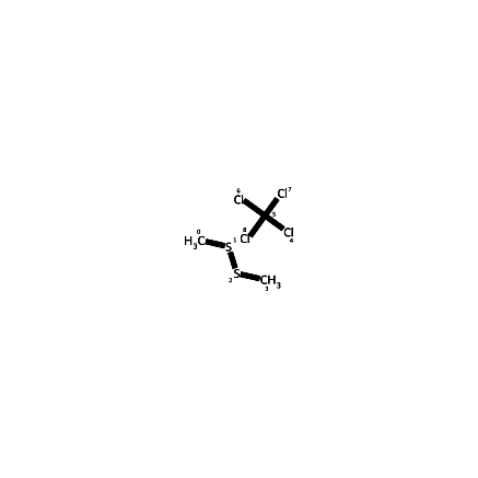 CSSC.ClC(Cl)(Cl)Cl